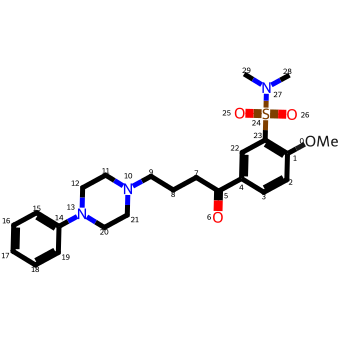 COc1ccc(C(=O)CCCN2CCN(c3ccccc3)CC2)cc1S(=O)(=O)N(C)C